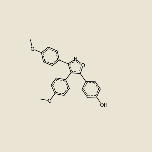 COc1ccc(-c2noc(-c3ccc(O)cc3)c2-c2ccc(OC)cc2)cc1